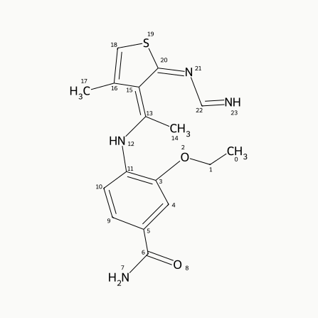 CCOc1cc(C(N)=O)ccc1N/C(C)=C1\C(C)=CS\C1=N\C=N